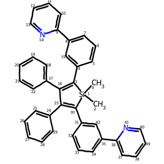 C[Si]1(C)C(c2cccc(-c3ccccn3)c2)=C(c2ccccc2)C(c2ccccc2)=C1c1cccc(-c2ccccn2)c1